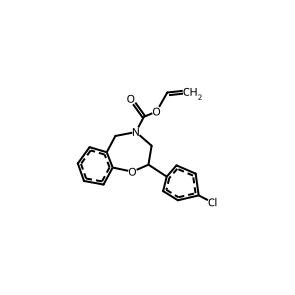 C=COC(=O)N1Cc2ccccc2OC(c2ccc(Cl)cc2)C1